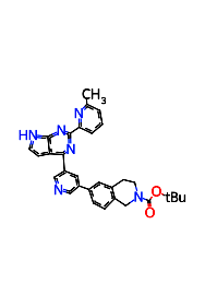 Cc1cccc(-c2nc(-c3cncc(-c4ccc5c(c4)CCN(C(=O)OC(C)(C)C)C5)c3)c3cc[nH]c3n2)n1